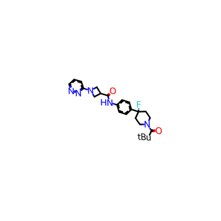 CC(C)(C)C(=O)N1CCC(F)(c2ccc(NC(=O)C3CN(c4cccnn4)C3)cc2)CC1